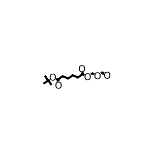 CC(C)(C)OC(=O)CCCCC(=O)OCOC=O